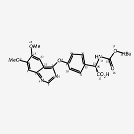 COc1cc2ncnc(Oc3ccc([C@@H](NC(=O)OC(C)(C)C)C(=O)O)cc3)c2cc1OC